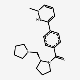 CN1C=CC=C(c2ccc(C(=O)N3CCC[C@H]3CN3CCCC3)cc2)N1